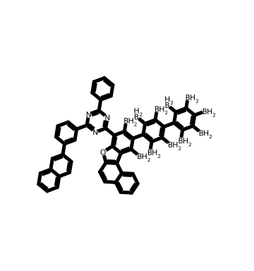 Bc1c(B)c(B)c(-c2c(B)c(B)c(-c3c(B)c(-c4nc(-c5ccccc5)nc(-c5cccc(-c6ccc7ccccc7c6)c5)n4)c4oc5ccc6ccccc6c5c4c3B)c(B)c2B)c(B)c1B